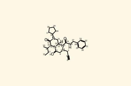 C#CCN1CC(=O)N2[C@@H](C(C)CC)C(=O)N(C3CCCC3)C[C@@H]2N1C(=O)NCc1ccccc1